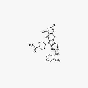 C[C@@H]1COCC[C@@H]1Nc1ncc2nc(Nc3c(F)cc(Cl)cc3Cl)n([C@H]3CC[C@H](C(N)=O)CC3)c2n1